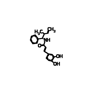 C=CC(C)[C@H](NC(=O)/C=C/c1ccc(O)c(O)c1)c1ccccc1